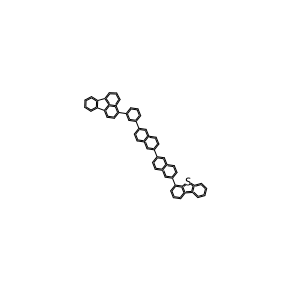 c1cc(-c2ccc3cc(-c4ccc5cc(-c6cccc7c6sc6ccccc67)ccc5c4)ccc3c2)cc(-c2ccc3c4c(cccc24)-c2ccccc2-3)c1